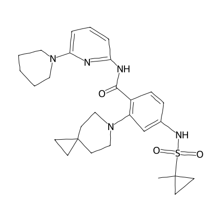 CC1(S(=O)(=O)Nc2ccc(C(=O)Nc3cccc(N4CCCCC4)n3)c(N3CCC4(CC3)CC4)c2)CC1